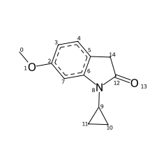 COc1ccc2c(c1)N(C1CC1)C(=O)C2